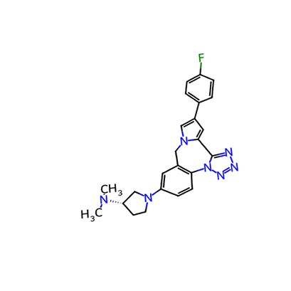 CN(C)[C@H]1CCN(c2ccc3c(c2)Cn2cc(-c4ccc(F)cc4)cc2-c2nnnn2-3)C1